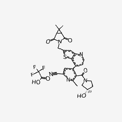 Cc1nc(C#N)cc(-c2ccnc3cc(CN4C(=O)C5C(C4=O)C5(C)C)sc23)c1C(=O)N1CC[C@H](O)C1.O=C(O)C(F)(F)F